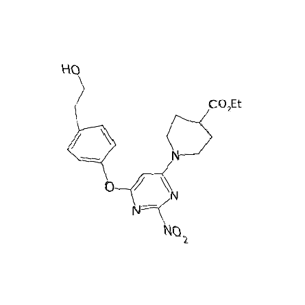 CCOC(=O)C1CCN(c2cc(Oc3ccc(CCO)cc3)nc([N+](=O)[O-])n2)CC1